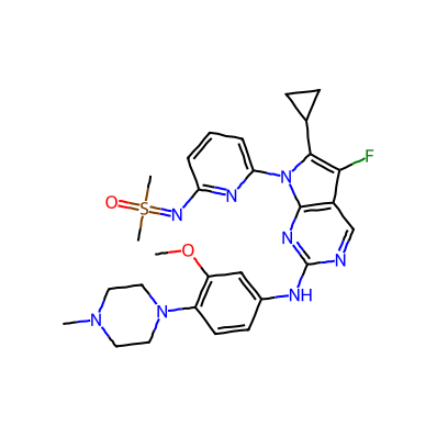 COc1cc(Nc2ncc3c(F)c(C4CC4)n(-c4cccc(N=S(C)(C)=O)n4)c3n2)ccc1N1CCN(C)CC1